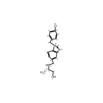 C[C@@H](CO)NCc1ccc2c(c1)ncn2Cc1ccc(Cl)cc1